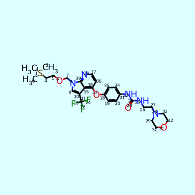 CS(C)(C)CCOCn1cc(C(F)(F)F)c2c(Oc3ccc(NC(=O)NCCN4CCOCC4)cc3)ccnc21